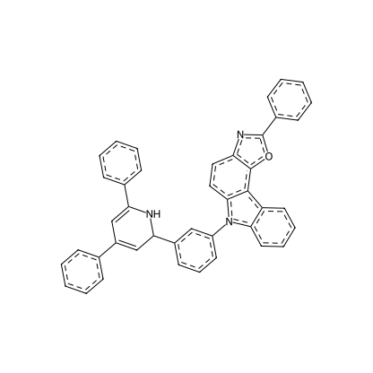 C1=C(c2ccccc2)C=C(c2ccccc2)NC1c1cccc(-n2c3ccccc3c3c4oc(-c5ccccc5)nc4ccc32)c1